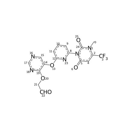 Cn1c(C(F)(F)F)cc(=O)n(-c2cccc(Oc3cncnc3OCC=O)n2)c1=O